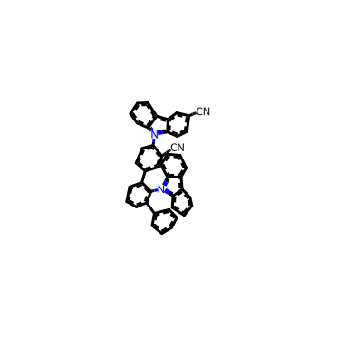 N#Cc1ccc2c(c1)c1ccccc1n2-c1ccc(-c2cccc(-c3ccccc3)c2-n2c3ccccc3c3ccccc32)cc1C#N